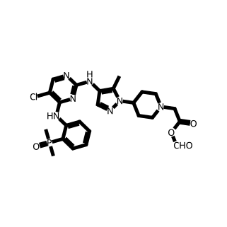 Cc1c(Nc2ncc(Cl)c(Nc3ccccc3P(C)(C)=O)n2)cnn1C1CCN(CC(=O)OC=O)CC1